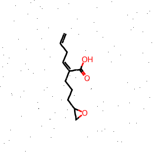 C=CCC=C(CCCC1CO1)C(=O)O